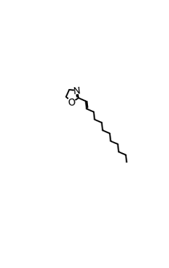 CCCCCCCCCCC=CC1=NCCO1